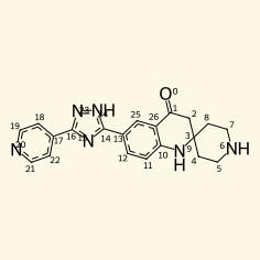 O=C1CC2(CCNCC2)Nc2ccc(-c3nc(-c4ccncc4)n[nH]3)cc21